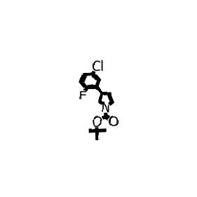 CC(C)(C)OC(=O)N1C=CC(c2cc(Cl)ccc2F)C1